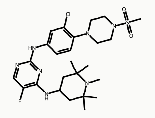 CN1C(C)(C)CC(Nc2nc(Nc3ccc(N4CCN(S(C)(=O)=O)CC4)c(Cl)c3)ncc2F)CC1(C)C